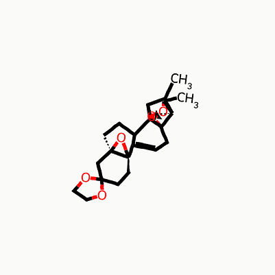 CC1(C)OCCOC23CC=C4C(CC[C@@]56CC7(CC[C@@]45O6)OCCO7)C2CC[C@H]13